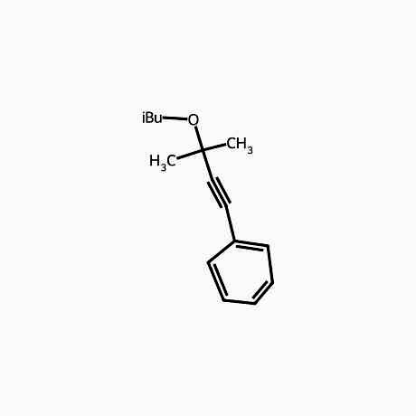 CCC(C)OC(C)(C)C#Cc1ccccc1